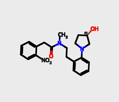 CN(CCc1ccccc1N1CC[C@H](O)C1)C(=O)Cc1ccccc1[N+](=O)[O-]